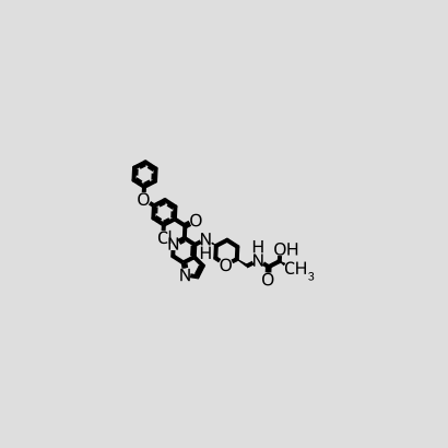 C[C@H](O)C(=O)NC[C@@H]1CC[C@@H](NC2=C3C=CN=C3CN=C2C(=O)c2ccc(Oc3ccccc3)cc2Cl)CO1